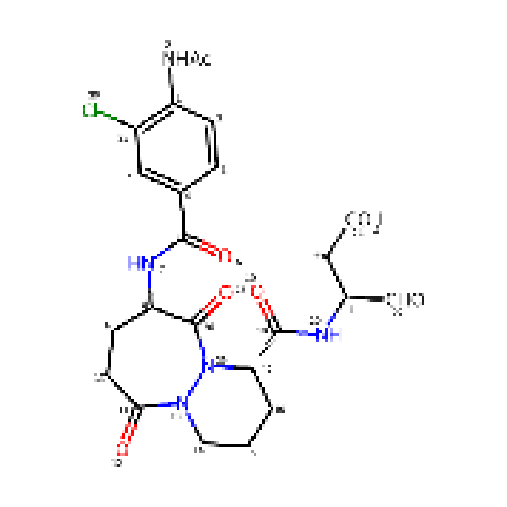 CC(=O)Nc1ccc(C(=O)NC2CCC(=O)N3CCC[C@@H](C(=O)N[C@H](C=O)CC(=O)O)N3C2=O)cc1Cl